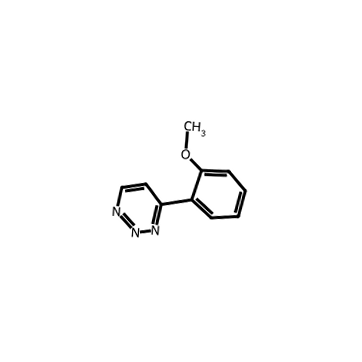 COc1ccccc1-c1ccnnn1